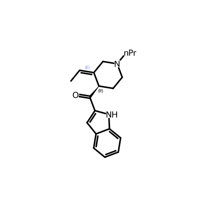 C/C=C1/CN(CCC)CC[C@H]1C(=O)c1cc2ccccc2[nH]1